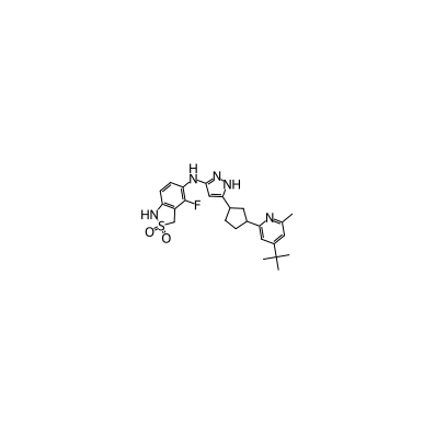 Cc1cc(C(C)(C)C)cc(C2CCC(c3cc(Nc4ccc5c(c4F)CS(=O)(=O)N5)n[nH]3)C2)n1